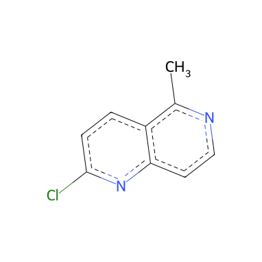 Cc1nccc2nc(Cl)ccc12